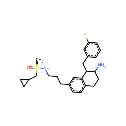 C=S(=O)(CC1CC1)NCCCc1ccc2c(c1)C(Cc1cccc(F)c1)C(N)CC2